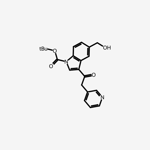 CC(C)(C)OC(=O)n1cc(C(=O)Cc2cccnc2)c2cc(CO)ccc21